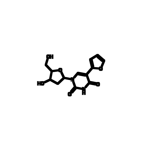 O=c1[nH]c(=O)n(C2CC(O)C(CO)O2)cc1-c1ccco1